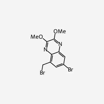 COc1nc2cc(Br)cc(CBr)c2nc1OC